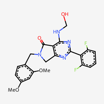 COc1ccc(CN2Cc3nc(-c4c(F)cccc4F)nc(NCO)c3C2=O)c(OC)c1